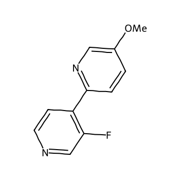 COc1ccc(-c2ccncc2F)nc1